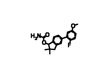 COc1ccc(F)c(-c2ccc3c(c2)CC(C)(C)C3OC(N)=O)c1